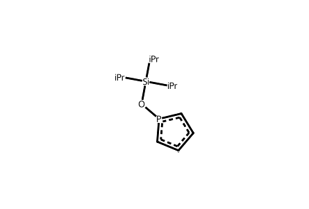 CC(C)[Si](Op1c[c]cc1)(C(C)C)C(C)C